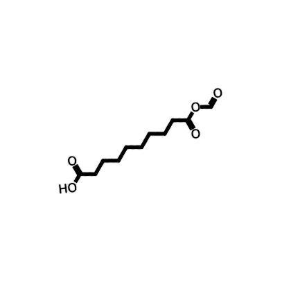 O=COC(=O)CCCCCCCCC(=O)O